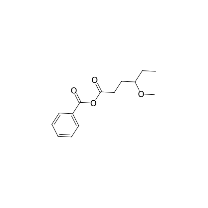 CCC(CCC(=O)OC(=O)c1ccccc1)OC